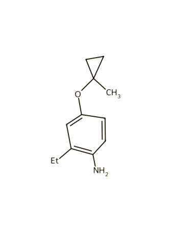 CCc1cc(OC2(C)CC2)ccc1N